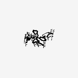 O=C(NCC(F)(F)F)NC(Cc1ccccc1)(c1cccc(OC(F)(F)C(F)F)c1)c1ccc(F)c(C(F)(F)F)c1